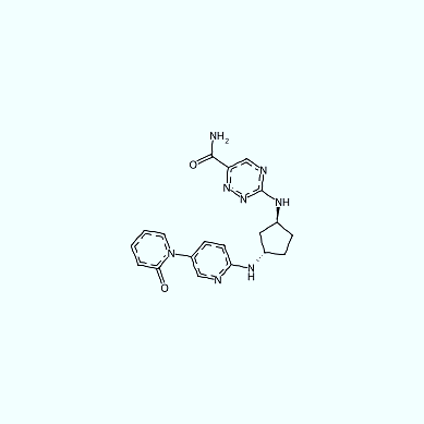 NC(=O)c1cnc(N[C@H]2CC[C@H](Nc3ccc(-n4ccccc4=O)cn3)C2)nn1